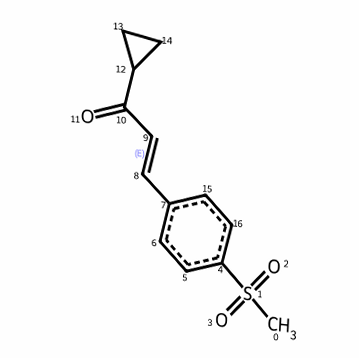 CS(=O)(=O)c1ccc(/C=C/C(=O)C2CC2)cc1